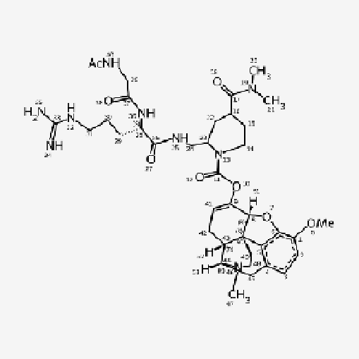 COc1ccc2c3c1O[C@H]1C(OC(=O)N4CCC(C(=O)N(C)C)CC4CNC(=O)[C@H](CCCNC(=N)N)NC(=O)CNC(C)=O)=CC[C@H]4[C@@H](C2)N(C)CC[C@]314